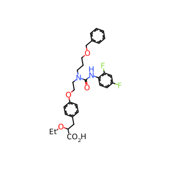 CCOC(Cc1ccc(OCCN(CCCOCc2ccccc2)C(=O)Nc2ccc(F)cc2F)cc1)C(=O)O